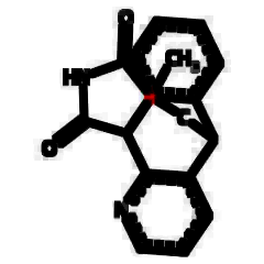 CC12CC3c4ccccc4C1(C(=O)NC2=O)c1ncccc13